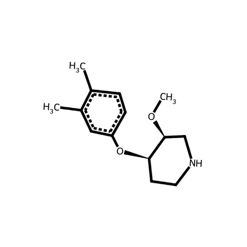 CO[C@H]1CNCC[C@H]1Oc1ccc(C)c(C)c1